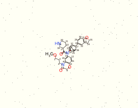 COCCCN1C(=O)COc2ccc(N(C(=O)[C@H]3CNCC[C@@H]3c3cccc(-c4ccc5c(c4)CCO5)c3)C3CC3)cc21